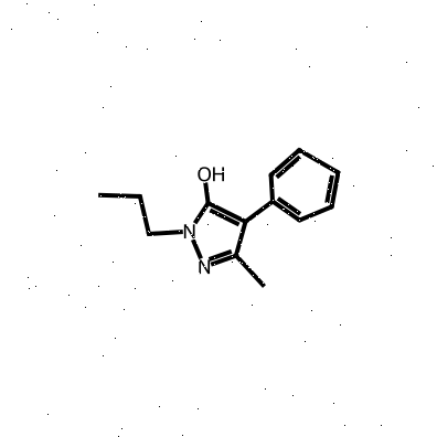 CCCn1nc(C)c(-c2ccccc2)c1O